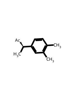 CC(=O)[C@H](C)c1ccc(C)c(C)c1